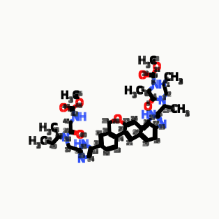 CCCN(C(=O)[C@H](C)NC(=O)OC)C(C)c1nc2ccc3cc4c(cc3c2[nH]1)OCc1cc(-c2cnc(CN(C(=O)CNC(=O)OC)[C@@H](C)CC)[nH]2)ccc1-4